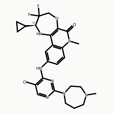 CN1CCCN(c2ncc(Cl)c(Nc3ccc4c(c3)c3c(c(=O)n4C)OCC(F)(F)[C@H](C4CC4)N3)n2)CC1